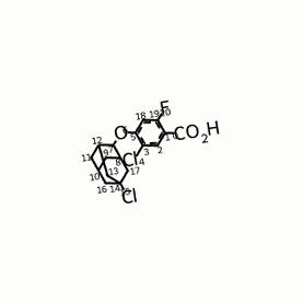 O=C(O)c1cc(Cl)c(OC2C3CC4CC2CC(Cl)(C4)C3)cc1F